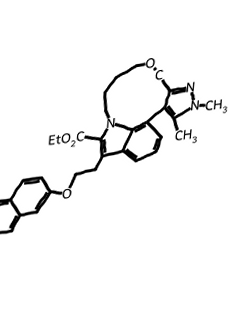 CCOC(=O)c1c(CCOc2ccc3ccccc3c2)c2cccc3c2n1CCCCOCc1nn(C)c(C)c1-3